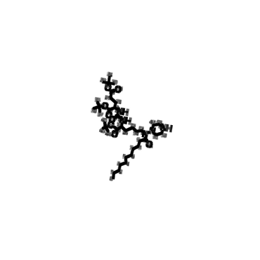 CCCCCCCCCCC(=O)N(CCCCC(NC(=O)NC(CCC(=O)OC(C)(C)C)C(=O)OC(C)(C)C)C(=O)OC(C)(C)C)N1CCNCC1